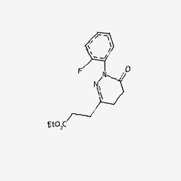 CCOC(=O)CCC1=NN(c2ccccc2F)C(=O)CC1